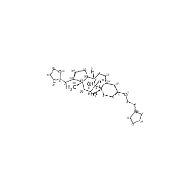 C[C@]12CCC(OCCN3CCCC3)CC1CC[C@@H]1[C@H]2CC[C@]2(C)C(CC3OCCO3)CC[C@@]12O